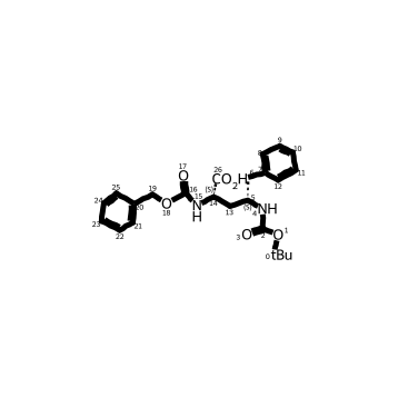 CC(C)(C)OC(=O)N[C@@H](Cc1ccccc1)C[C@H](NC(=O)OCc1ccccc1)C(=O)O